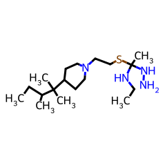 CCNC(C)(NN)SCCN1CCC(C(C)(C)C(C)CC)CC1